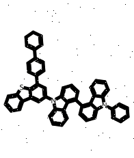 C1=CC(c2ccc(-c3cc(-n4c5ccccc5c5c(-c6cccc7c6c6ccccc6n7-c6ccccc6)cccc54)cc4c3sc3ccccc34)cc2)=CCC1